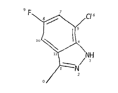 Cc1n[nH]c2c(Cl)cc(F)cc12